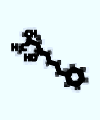 CC(C)CN(O)CCCCc1ccccc1